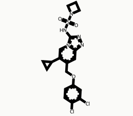 O=S(=O)(Nc1nnc2cc(COc3ccc(Cl)c(Cl)c3)c(C3CC3)cn12)N1CCC1